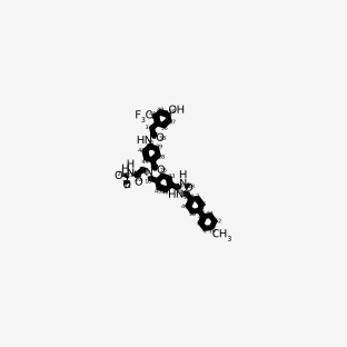 CC1CC=C(C2C=CC(C3NC(C4=CCC(CN(CC(=O)N[SH](=O)=O)C(=O)C5=CCC(NC(=O)Cc6ccc(O)cc6C(F)(F)F)C=C5)C=C4)NO3)=CC2)CC1